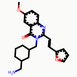 COc1ccc2nc(/C=C/c3ccco3)n(CC3CCCC(CN)C3)c(=O)c2c1